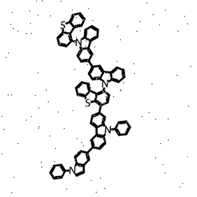 c1ccc(-n2ccc3cc(-c4ccc5c(c4)c4ccc(-c6ccc(-n7c8ccccc8c8cc(-c9ccc%10c(c9)c9ccccc9n%10-c9cccc%10sc%11ccccc%11c9%10)ccc87)c7c6sc6ccccc67)cc4n5-c4ccccc4)ccc32)cc1